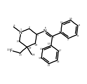 CN1CC(N=C(c2ccccc2)c2ccccc2)CC(C)(CF)C1